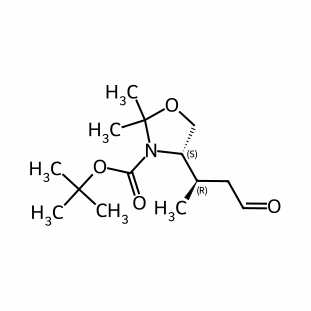 C[C@H](CC=O)[C@H]1COC(C)(C)N1C(=O)OC(C)(C)C